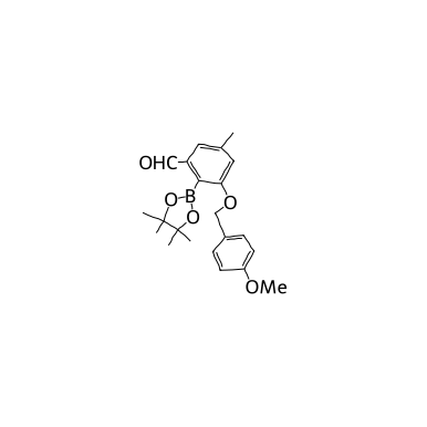 COc1ccc(COc2cc(C)cc(C=O)c2B2OC(C)(C)C(C)(C)O2)cc1